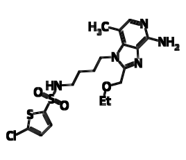 CCOCc1nc2c(N)ncc(C)c2n1CCCCNS(=O)(=O)c1ccc(Cl)s1